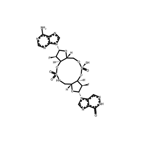 Nc1ncnc2c1ncn2[C@@H]1O[C@@H]2CO[P@@](=O)(S)O[C@H]3[C@@H](F)[C@H](n4cnc5c(=O)[nH]ncc54)O[C@@H]3CNS(=O)(=O)O[C@H]2[C@H]1F